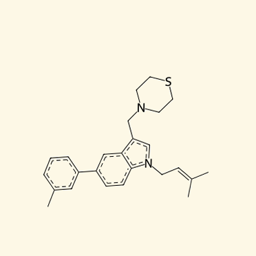 CC(C)=CCn1cc(CN2CCSCC2)c2cc(-c3cccc(C)c3)ccc21